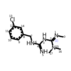 C/N=C(/NC(=N)NCc1cccc(Cl)c1)N(C)C